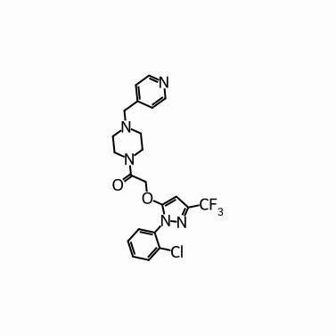 O=C(COc1cc(C(F)(F)F)nn1-c1ccccc1Cl)N1CCN(Cc2ccncc2)CC1